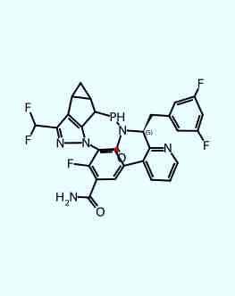 NC(=O)c1cc(-c2cccnc2[C@H](Cc2cc(F)cc(F)c2)N2PC3c4c(c(C(F)F)nn4CC2=O)C2CC23)ccc1F